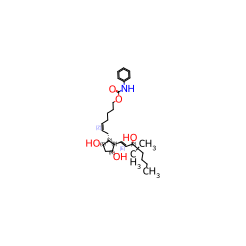 CCCCC(C)(C)[C@H](O)/C=C/[C@@H]1[C@@H](C/C=C\CCCCOC(=O)Nc2ccccc2)[C@@H](O)C[C@H]1O